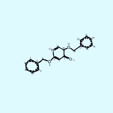 O=C1C=C(OCc2ccccc2)N=CC1OCc1ccccc1